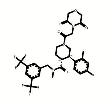 Cc1cc(F)ccc1[C@@H]1CN(C(=O)CN2C(=O)COCC2=O)CC[C@H]1C(=O)N(C)Cc1cc(C(F)(F)F)cc(C(F)(F)F)c1